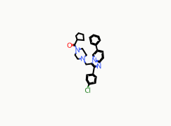 O=C(C1CCCC1)N1CCN(Cc2c(-c3ccc(Cl)cc3)nc3ccc(-c4ccccc4)cn23)CC1